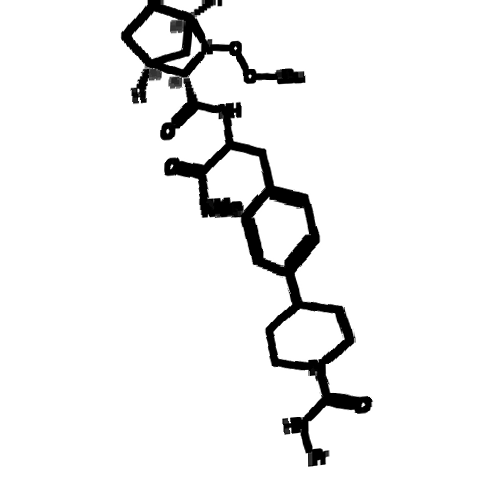 CNC(=O)C(Cc1ccc(C2CCN(C(=O)NC(C)C)CC2)cc1)NC(=O)[C@@H]1[C@H]2CC[C@H](C2)N1OOC(C)(C)C